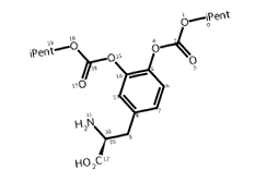 CCCC(C)OC(=O)Oc1ccc(C[C@H](N)C(=O)O)cc1OC(=O)OC(C)CCC